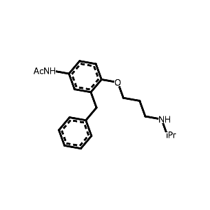 CC(=O)Nc1ccc(OCCCNC(C)C)c(Cc2ccccc2)c1